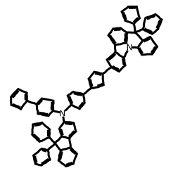 c1ccc(-c2ccc(N(c3ccc(-c4ccc(-c5ccc6c(c5)c5cccc7c5n6-c5ccccc5C7(c5ccccc5)c5ccccc5)cc4)cc3)c3ccc4c(c3)C(c3ccccc3)(c3ccccc3)c3ccccc3-4)cc2)cc1